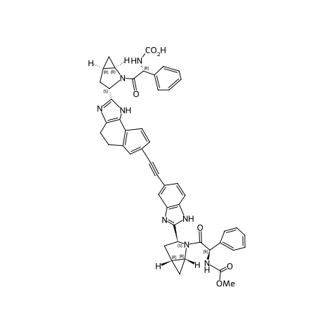 COC(=O)N[C@@H](C(=O)N1[C@@H]2C[C@@H]2C[C@H]1c1nc2cc(C#Cc3ccc4c(c3)CCc3nc([C@@H]5C[C@H]6C[C@H]6N5C(=O)[C@H](NC(=O)O)c5ccccc5)[nH]c3-4)ccc2[nH]1)c1ccccc1